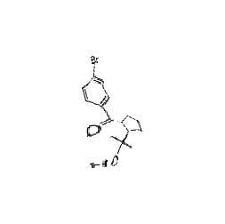 CC(C)(O)[C@@H]1CCC[C@H]1C(=O)c1ccc(Br)cc1